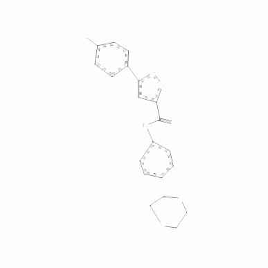 Cl.O=C(Nc1ccc([C@H]2CNCCO2)cc1)c1cc(-c2ccc(Cl)cc2)n[nH]1